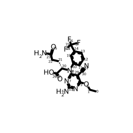 CCOc1nc(N)nc(N(c2cccc(C(F)(F)F)c2)[C@@H](CCC(N)=O)C(=O)O)c1C#N